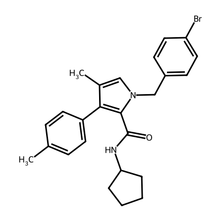 Cc1ccc(-c2c(C)cn(Cc3ccc(Br)cc3)c2C(=O)NC2CCCC2)cc1